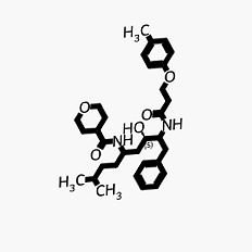 Cc1ccc(OCCC(=O)NC(Cc2ccccc2)[C@@H](O)CC(CCC(C)C)NC(=O)C2CCOCC2)cc1